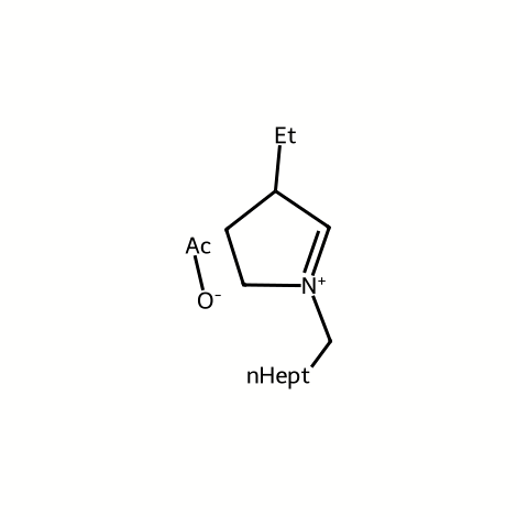 CC(=O)[O-].CCCCCCCC[N+]1=CC(CC)CC1